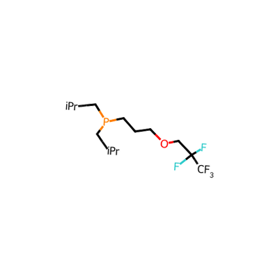 CC(C)CP(CCCOCC(F)(F)C(F)(F)F)CC(C)C